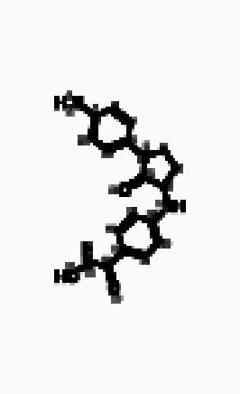 Nc1ccc(N2CCC(Nc3ccc(C(=O)NO)cc3)C2=O)cc1